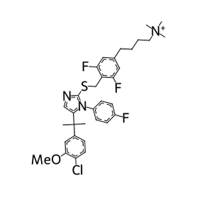 COc1cc(C(C)(C)c2cnc(SCc3c(F)cc(CCCC[N+](C)(C)C)cc3F)n2-c2ccc(F)cc2)ccc1Cl